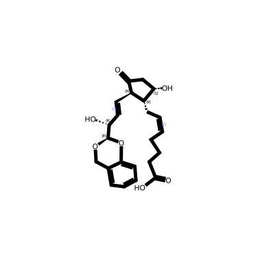 O=C(O)CCC/C=C\C[C@H]1[C@@H](O)CC(=O)[C@@H]1/C=C/[C@@H](O)[C@@H]1OCc2ccccc2O1